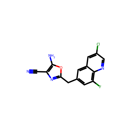 N#Cc1nc(Cc2cc(F)c3ncc(Cl)cc3c2)oc1N